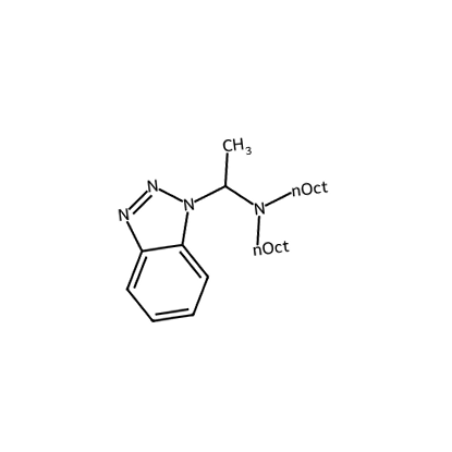 CCCCCCCCN(CCCCCCCC)C(C)n1nnc2ccccc21